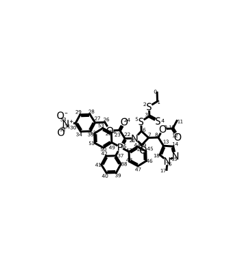 CCSC(=S)SC1C(C(OC(C)=O)c2cnn(C)c2)C(=O)N1C(C(=O)OCc1ccc([N+](=O)[O-])cc1)=P(c1ccccc1)(c1ccccc1)c1ccccc1